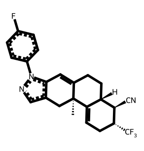 C[C@]12Cc3cnn(-c4ccc(F)cc4)c3C=C1CC[C@H]1C2=CC[C@@H](C(F)(F)F)[C@@H]1C#N